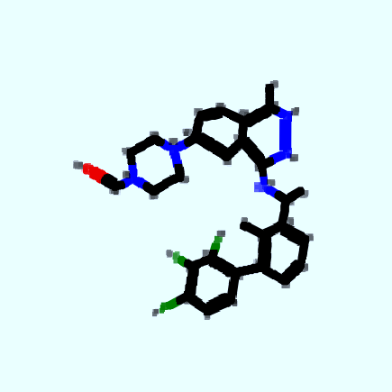 Cc1c(-c2ccc(F)c(F)c2F)cccc1C(C)Nc1nnc(C)c2ccc(N3CCN(C=O)CC3)cc12